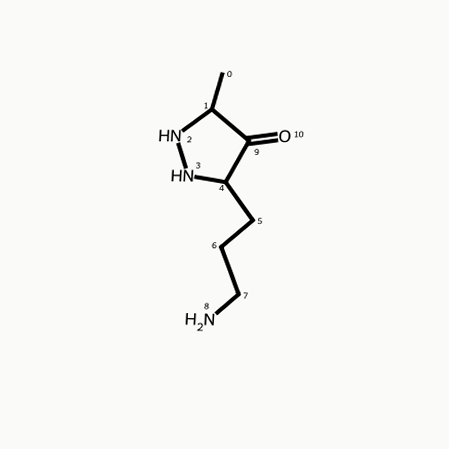 CC1NNC(CCCN)C1=O